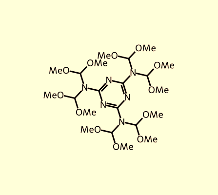 COC(OC)N(c1nc(N(C(OC)OC)C(OC)OC)nc(N(C(OC)OC)C(OC)OC)n1)C(OC)OC